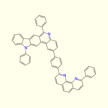 c1ccc(-c2ccc3ccc4ccc(-c5ccc(-c6ccc7nc(-c8ccccc8)c8cc9c%10ccccc%10n(-c%10ccccc%10)c9cc8c7c6)cc5)nc4c3n2)cc1